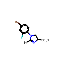 CCOC(=O)C1CN(c2ccc(Br)cc2F)C(CC)=N1